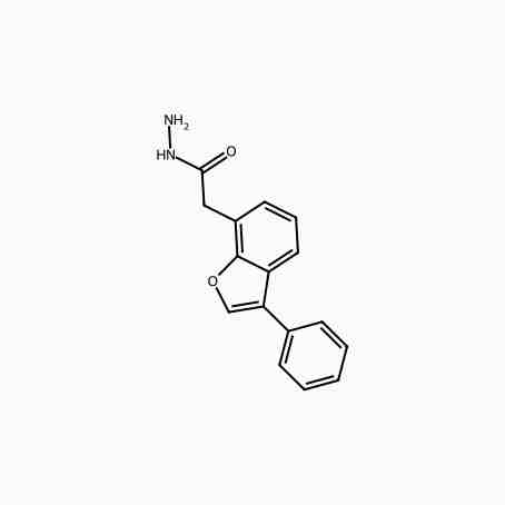 NNC(=O)Cc1cccc2c(-c3ccccc3)coc12